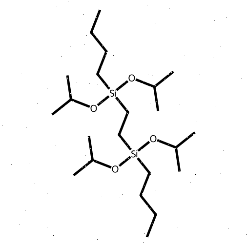 CCCC[Si](CC[Si](CCCC)(OC(C)C)OC(C)C)(OC(C)C)OC(C)C